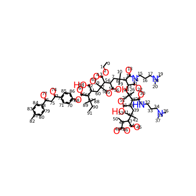 CCOC(=O)C(C(CC(C)(C)C1C(=O)N(CCCN(C)C)C(=O)C1CC(C)(C)C(C(=O)NCCCN(C)C)C(CC(C)(C)C1C(=O)OC(=O)C1C)C(=O)O)C(=O)O)C(C)(C)CC(C(=O)O)C(C(=O)Oc1ccc(C(=O)CC(=O)c2ccc(C)cc2)cc1)C(C)(C)CC